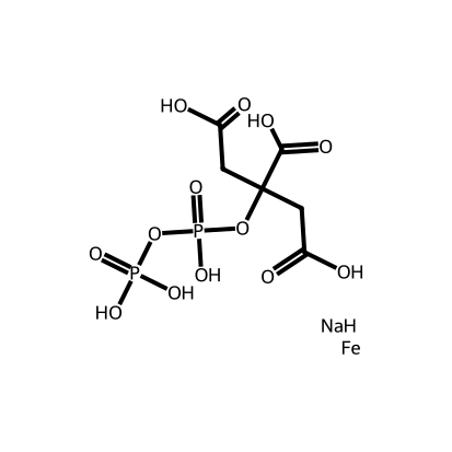 O=C(O)CC(CC(=O)O)(OP(=O)(O)OP(=O)(O)O)C(=O)O.[Fe].[NaH]